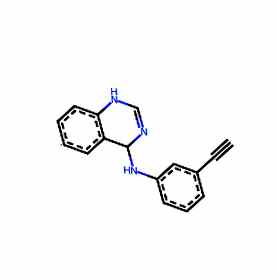 C#Cc1cccc(NC2N=CNc3cc[c]cc32)c1